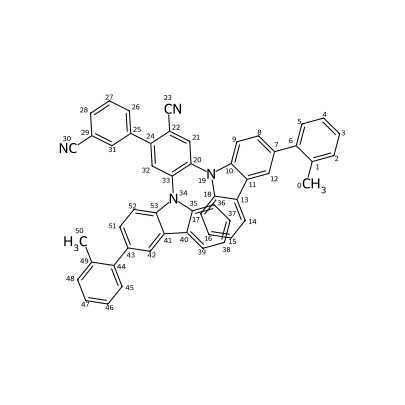 Cc1ccccc1-c1ccc2c(c1)c1ccccc1n2-c1cc(C#N)c(-c2cccc(C#N)c2)cc1-n1c2ccccc2c2cc(-c3ccccc3C)ccc21